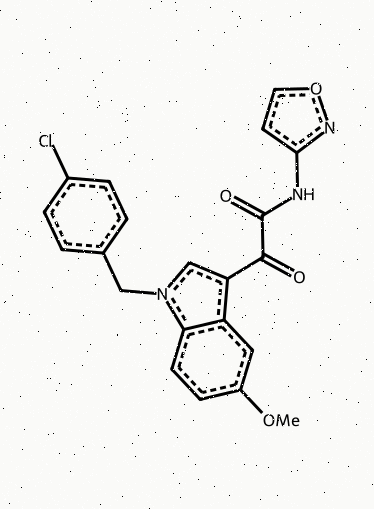 COc1ccc2c(c1)c(C(=O)C(=O)Nc1ccon1)cn2Cc1ccc(Cl)cc1